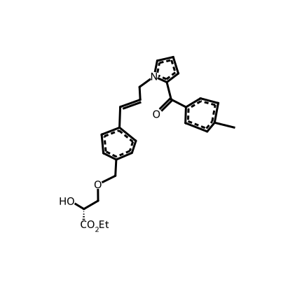 CCOC(=O)[C@H](O)COCc1ccc(/C=C/Cn2cccc2C(=O)c2ccc(C)cc2)cc1